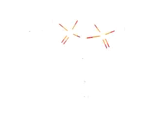 O=P(O)(O)OP(=O)(O)O.[KH].[KH].[KH].[KH].[KH].[KH]